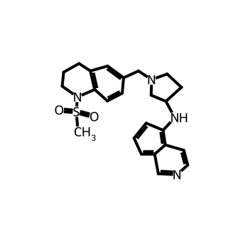 CS(=O)(=O)N1CCCc2cc(CN3CCC(Nc4cccc5cnccc45)C3)ccc21